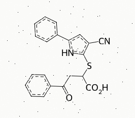 N#Cc1cc(-c2ccccc2)[nH]c1SC([CH]C(=O)c1ccccc1)C(=O)O